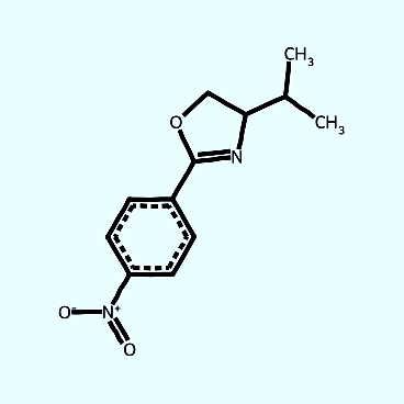 CC(C)C1COC(c2ccc([N+](=O)[O-])cc2)=N1